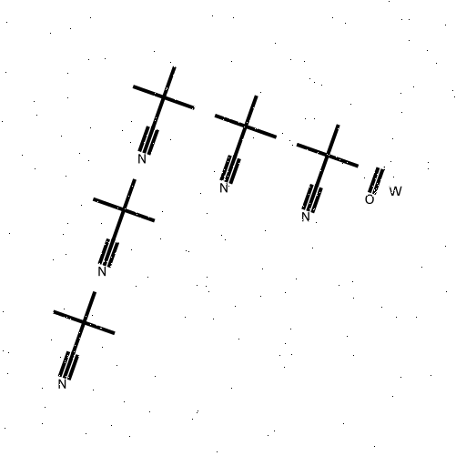 CC(C)(C)C#N.CC(C)(C)C#N.CC(C)(C)C#N.CC(C)(C)C#N.CC(C)(C)C#N.[C]=O.[W]